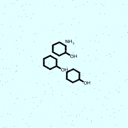 N.OC1CCCCC1.OC1CCCCC1.OC1CCCCC1